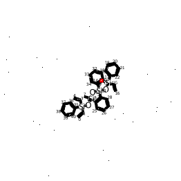 C=C[Si](C=C)(O[Si](C)(C)O[Si](O[Si](C=C)(C=C)c1ccccc1)(c1ccccc1)c1ccccc1)c1ccccc1